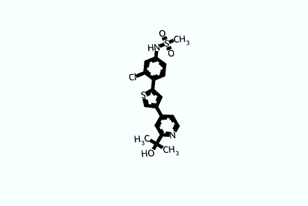 CC(C)(O)c1cc(-c2csc(-c3ccc(NS(C)(=O)=O)cc3Cl)c2)ccn1